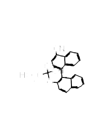 CC(C)(Oc1ccc2ccccc2c1-c1ccc(C#N)c2ccccc12)C(=O)O